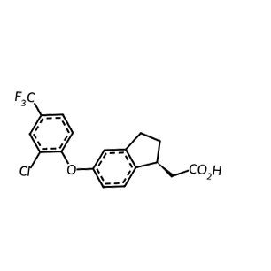 O=C(O)C[C@@H]1CCc2cc(Oc3ccc(C(F)(F)F)cc3Cl)ccc21